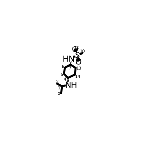 CC(C)N[C@H]1CC[C@H](NS(C)(=O)=O)CC1